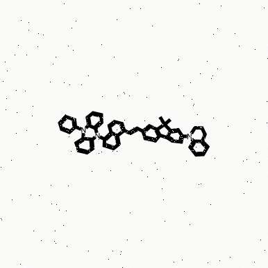 CC1(C)c2cc(/C=C/c3cccc4c(N5c6ccccc6N(c6ccccc6)c6ccccc65)cccc34)ccc2-c2ccc(N3CCCc4ccccc43)cc21